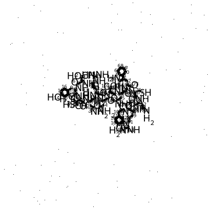 C[C@@H](O)[C@H](N)C(=O)N[C@@H](Cc1ccc(O)cc1)C(=O)N[C@H](C(=O)N[C@@H](CC(N)=O)C(=O)N[C@@H](CCCNC(=N)N)C(=O)N[C@@H](CCN)C(=O)N[C@H](C(=O)N[C@H](CCN)C(=O)N[C@@H](Cc1c[nH]c2ccccc12)C(=O)N[C@@H](CS)C(=O)N[C@@H](CCN)C(=O)N[C@@H](CCCNC(=N)N)C(=O)N[C@@H](Cc1ccc(O)cc1)C(=O)O)[C@@H](C)O)C(C)(C)S